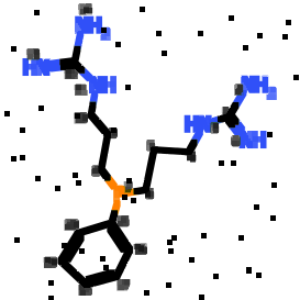 N=C(N)NCCCP(CCCNC(=N)N)c1ccccc1